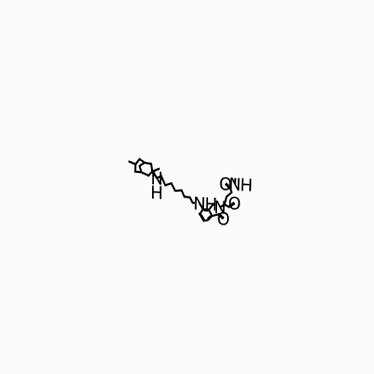 CNC(=O)CCC(C=O)N1Cc2c(NCCCCCCCCNC3(C)CC4CC(C)CC(C4)C3)cccc2C1=O